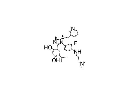 CC(C)c1cc(-c2nnc(SCc3cccnc3)n2-c2ccc(NCCCN(C)C)c(F)c2)c(O)cc1O